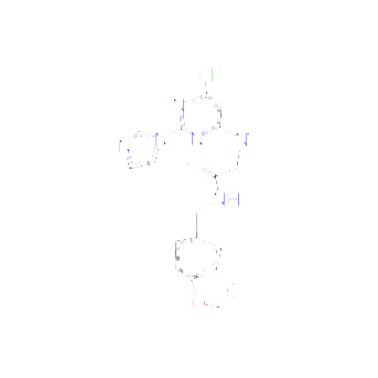 CN(CC(=O)NCc1ccc2c(c1)OCO2)c1cc(Cl)nc(-n2ccnc2)n1